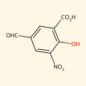 O=Cc1cc(C(=O)O)c(O)c([N+](=O)[O-])c1